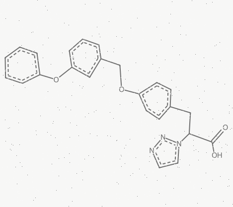 O=C(O)C(Cc1ccc(OCc2cccc(Oc3ccccc3)c2)cc1)n1ccnn1